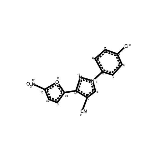 N#Cc1cn(-c2ccc(Cl)cc2)nc1-c1ccc([N+](=O)[O-])o1